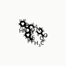 CCOC(=O)C1CCN(C[C@H]2CC[C@@H]3[C@H](O2)c2cc(C(F)(F)F)ccc2N[C@H]3c2ccccc2)CC1